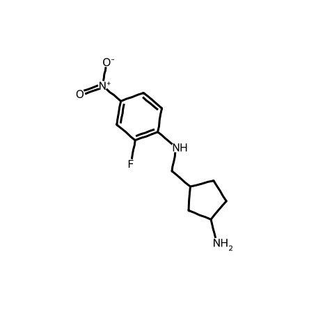 NC1CCC(CNc2ccc([N+](=O)[O-])cc2F)C1